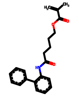 C=C(C)C(=O)OCCCCC(=O)Nc1ccccc1-c1ccccc1